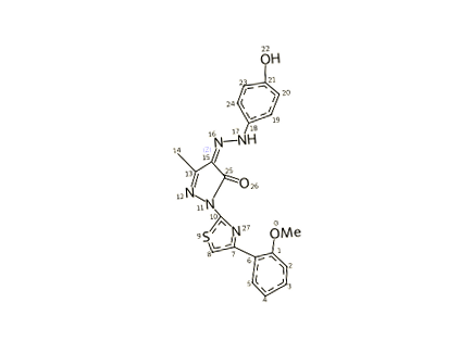 COc1ccccc1-c1csc(N2N=C(C)/C(=N/Nc3ccc(O)cc3)C2=O)n1